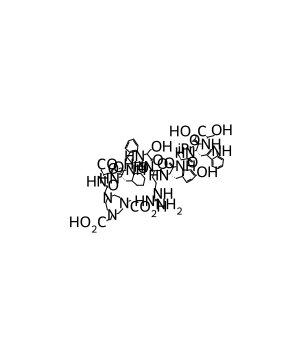 CC(C)C[C@H](NC(=O)[C@H](Cc1ccc(O)cc1)NC(=O)C(CCCNC(=N)N)NC(=O)C(CO)NC(=O)C(Cc1ccccc1)NC(=O)[C@H](CC1CCCCC1)NC(=O)[C@H](CC(=O)O)NC(=O)CN1CCN(CC(=O)O)CCN(CC(=O)O)CC1)C(=O)N[C@@H](Cc1c[nH]c2ccccc12)C(=O)N[C@@H](CO)C(=O)O